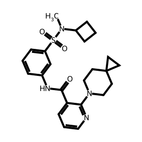 CN(C1CCC1)S(=O)(=O)c1cccc(NC(=O)c2cccnc2N2CCC3(CC2)CC3)c1